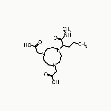 CCCC(C(=O)NC)N1CCN(CC(=O)O)CCN(CC(=O)O)CC1